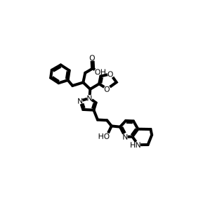 O=C(O)CC(Cc1ccccc1)C(C1=COCO1)n1cc(CCC(O)c2ccc3c(n2)NCCC3)cn1